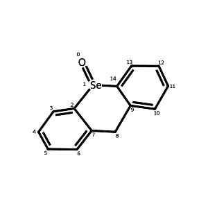 O=[Se]1c2ccccc2Cc2ccccc21